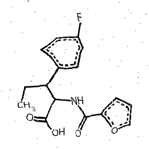 CCC(c1ccc(F)cc1)C(NC(=O)c1ccco1)C(=O)O